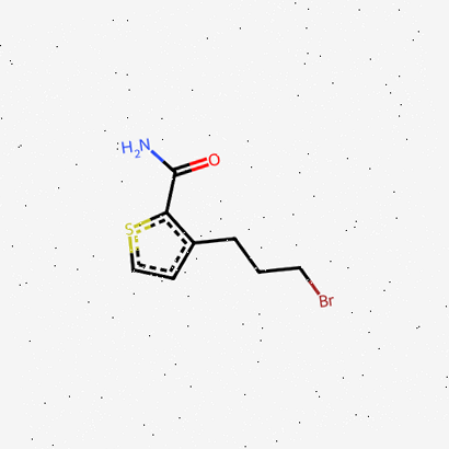 NC(=O)c1sccc1CCCBr